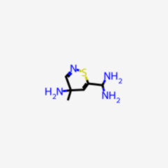 CC1(N)C=NSC(C(N)N)=C1